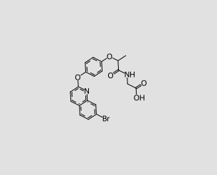 CC(Oc1ccc(Oc2ccc3ccc(Br)cc3n2)cc1)C(=O)NCC(=O)O